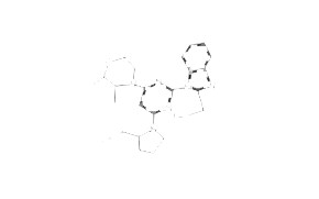 CC1OCCN(c2cc(N3CCCC3CO)nc(-n3c(CO)nc4ccccc43)n2)C1C